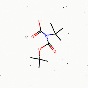 CC(C)(C)OC(=O)N(C(=O)[O-])C(C)(C)C.[K+]